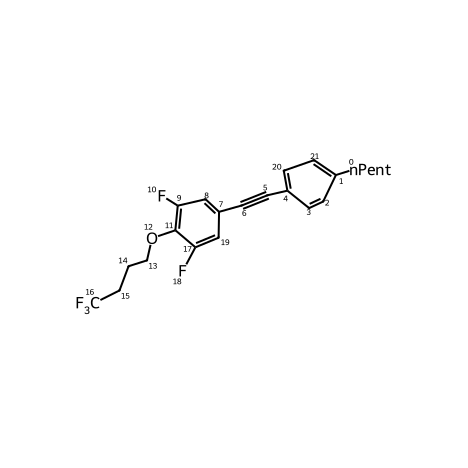 CCCCCc1ccc(C#Cc2cc(F)c(OCCCC(F)(F)F)c(F)c2)cc1